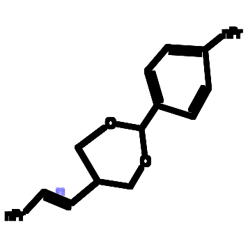 CCC/C=C/C1COC(c2ccc(CCC)cc2)OC1